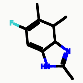 CC1=NC2C(=CC(F)=C(C)C2C)N1